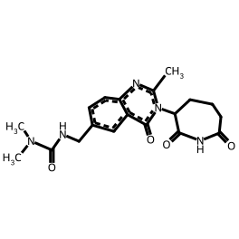 Cc1nc2ccc(CNC(=O)N(C)C)cc2c(=O)n1C1CCCC(=O)NC1=O